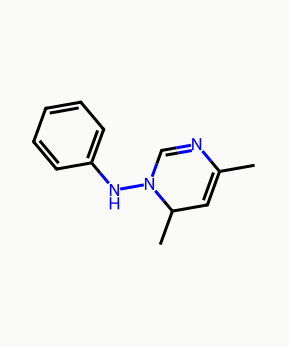 CC1=CC(C)N(Nc2ccccc2)C=N1